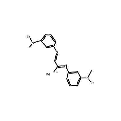 CCCCC(C=Nc1cccc(N(C)CC)c1)=Nc1cccc(N(C)CC)c1.[Pd]